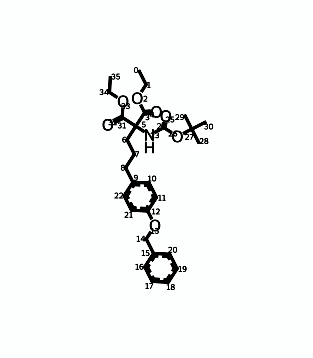 CCOC(=O)C(CCCc1ccc(OCc2ccccc2)cc1)(NC(=O)OC(C)(C)C)C(=O)OCC